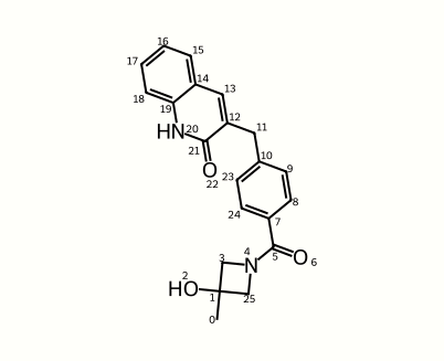 CC1(O)CN(C(=O)c2ccc(Cc3cc4ccccc4[nH]c3=O)cc2)C1